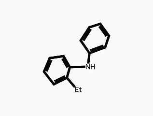 CCc1ccccc1Nc1ccccc1